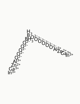 B.B.[Al+3].[Al+3].[Ga+3].[Ga+3].[In+3].[In+3].[O-2].[O-2].[O-2].[O-2].[O-2].[O-2].[O-2].[O-2].[O-2].[O-2].[O-2].[Zn+2].[Zn+2]